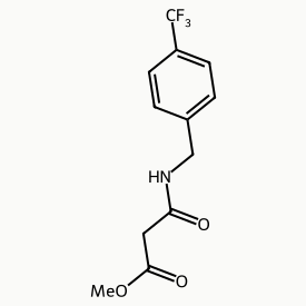 COC(=O)CC(=O)NCc1ccc(C(F)(F)F)cc1